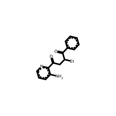 CCC(CC(=O)c1ncccc1N)C(=O)c1ccccc1